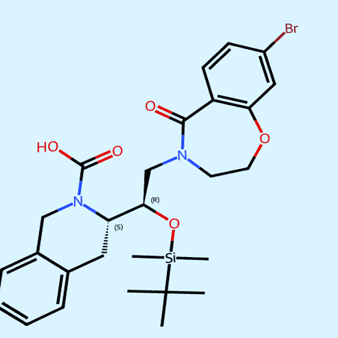 CC(C)(C)[Si](C)(C)O[C@H](CN1CCOc2cc(Br)ccc2C1=O)[C@@H]1Cc2ccccc2CN1C(=O)O